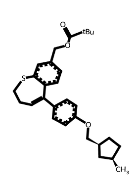 C[C@@H]1CC[C@H](COc2ccc(C3=CCCSc4cc(COC(=O)C(C)(C)C)ccc43)cc2)C1